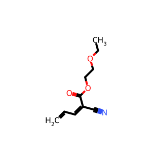 C=CC=C(C#N)C(=O)OCCOCC